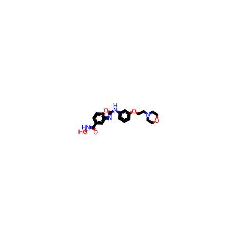 O=C(NO)c1ccc2oc(Nc3cccc(OCCN4CCOCC4)c3)nc2c1